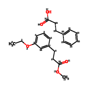 CCOc1cccc(CCC(=O)OC)c1.O=C(O)CCc1ccccc1